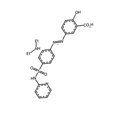 CCNCC.O=C(O)c1cc(/N=N/c2ccc(S(=O)(=O)Nc3ccccn3)cc2)ccc1O